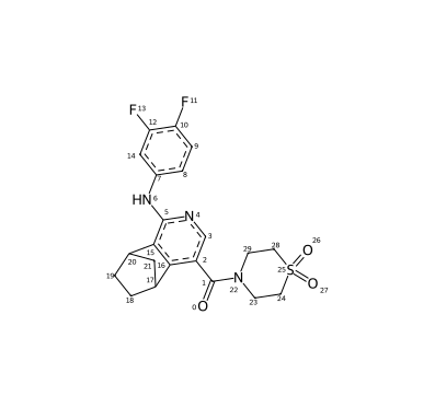 O=C(c1cnc(Nc2ccc(F)c(F)c2)c2c1C1CCC2C1)N1CCS(=O)(=O)CC1